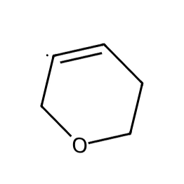 [C]1=CCCOC1